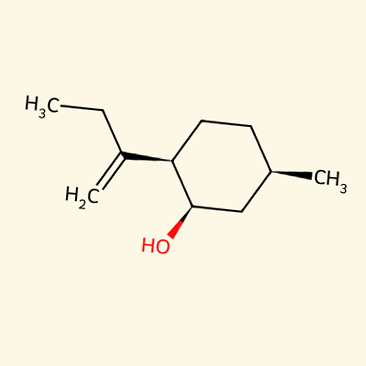 C=C(CC)[C@H]1CC[C@@H](C)C[C@H]1O